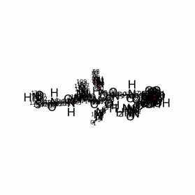 CCCCn1cc(CCCCOc2cc(C(=O)NCCCCCC(=O)NCCCCCCOP(=O)(O)OP(=O)(O)OP(=O)(O)OP(=O)(O)OP(=O)(O)OP(=O)(O)OC[C@H]3O[C@@H](n4cnc5c(=O)[nH]c(N)nc54)C[C@H]3O)cc(OCCCCc3cn(CCCC)nn3)c2CCCNC(=O)C2CCN(c3nc(N4CCC(C)CC4)nc(N4CCC(NC(=O)CCCCCNC(=O)CCCCC5SCC(NC(C)=O)C5C)CC4)n3)CC2)nn1